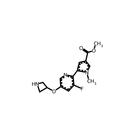 COC(=O)c1cc(-c2ncc(OC3CNC3)cc2F)n(C)c1